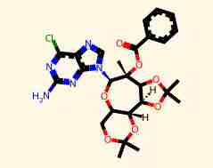 CC1(C)OCC2O[C@@H](n3cnc4c(Cl)nc(N)nc43)[C@](C)(OC(=O)c3ccccc3)C3OC(C)(C)O[C@H]3[C@@H]2O1